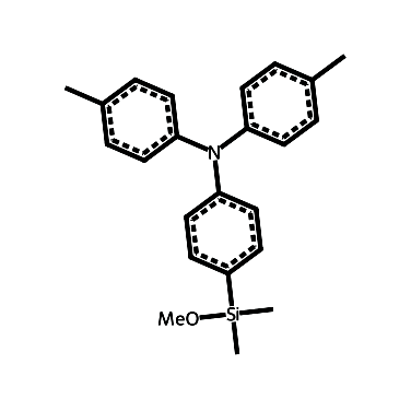 CO[Si](C)(C)c1ccc(N(c2ccc(C)cc2)c2ccc(C)cc2)cc1